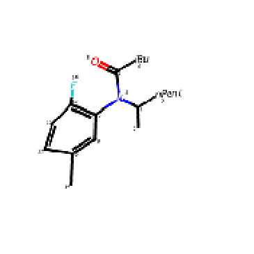 CCCCCC(C)N(C(=O)C(C)CC)c1cc(C)ccc1F